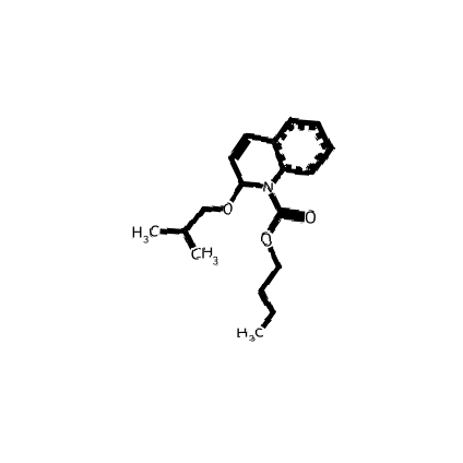 CCCCOC(=O)N1c2ccccc2C=CC1OCC(C)C